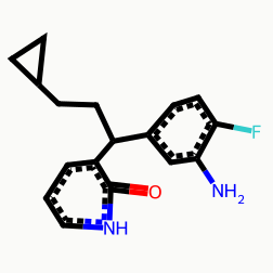 Nc1cc(C(CCC2CC2)c2ccc[nH]c2=O)ccc1F